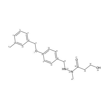 Cc1cccc(COc2ccc(CNN(C)C(=O)CCO)cc2)c1